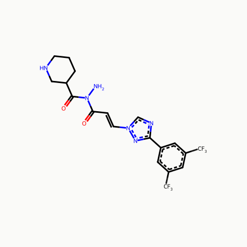 NN(C(=O)C=Cn1cnc(-c2cc(C(F)(F)F)cc(C(F)(F)F)c2)n1)C(=O)C1CCCNC1